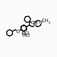 CN1CCN(CC(c2ccc(OCC3CCCCC3)cc2)C2(O)CCCCC2)CC1.Cl.Cl